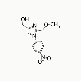 COCc1nc(CO)cn1-c1ccc([N+](=O)[O-])cc1